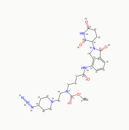 CC(C)(C)OC(=O)N(CCCC(=O)Nc1cccc2c1CN(C1CCC(=O)NC1=O)C2=O)CCN1CCC(N=[N+]=[N-])CC1